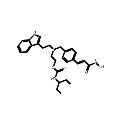 CCC(CC)NC(=O)OCCN(CCc1c[nH]c2ccccc12)Cc1ccc(/C=C/C(=O)NO)cc1